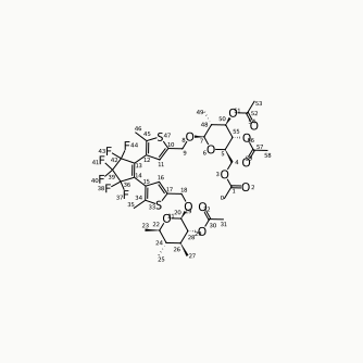 CC(=O)OC[C@H]1O[C@@H](OCc2cc(C3=C(c4cc(CO[C@@H]5O[C@H](C)[C@@H](C)[C@H](C)[C@H]5OC(C)=O)sc4C)C(F)(F)C(F)(F)C3(F)F)c(C)s2)[C@H](C)[C@@H](OC(C)=O)[C@@H]1OC(C)=O